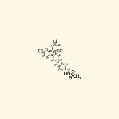 CS(=O)(=O)NCc1ccc(C[C@H]2CCC(c3ccc(Cl)cc3Cl)N(c3ccc(Cl)cc3)C2)cc1